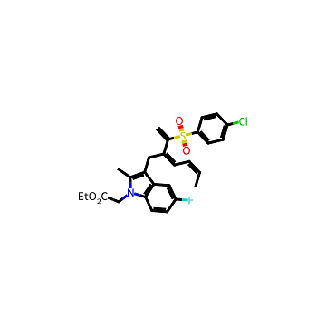 C=C(/C(=C\C=C/C)Cc1c(C)n(CC(=O)OCC)c2ccc(F)cc12)S(=O)(=O)c1ccc(Cl)cc1